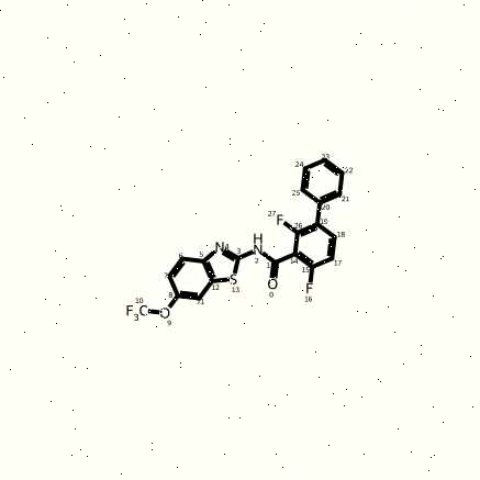 O=C(Nc1nc2ccc(OC(F)(F)F)cc2s1)c1c(F)ccc(-c2ccccc2)c1F